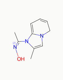 CC1=CN2CC=CC=C2N1/C(C)=N\O